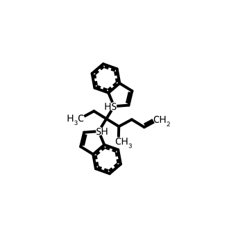 C=CCC(C)C(CC)([SH]1C=Cc2ccccc21)[SH]1C=Cc2ccccc21